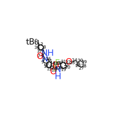 CC(C)(C)c1ccc(NC(=O)N2Cc3ccc(S(=O)(=O)Nc4ccc(OCCC5CCCCC5)cc4F)cc3C2)cc1